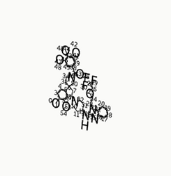 COc1ccc(C2(CCN3CCC(Nc4nc5ccccc5n4CCOCC(F)(F)F)CC3)CCN(C(=O)c3cc(OC)c(OC)c(OC)c3)C2)cc1OC